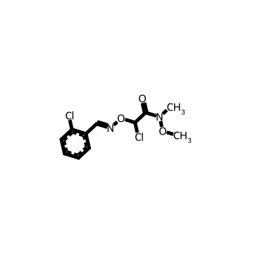 CON(C)C(=O)C(Cl)ON=Cc1ccccc1Cl